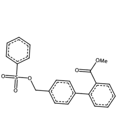 COC(=O)c1ccccc1-c1ccc(COS(=O)(=O)c2ccccc2)cc1